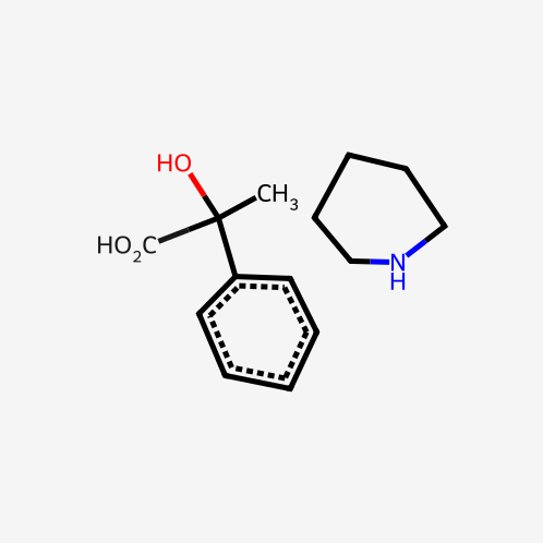 C1CCNCC1.CC(O)(C(=O)O)c1ccccc1